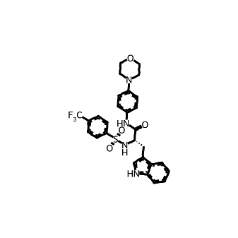 O=C(Nc1ccc(N2CCOCC2)cc1)[C@H](Cc1c[nH]c2ccccc12)NS(=O)(=O)c1ccc(C(F)(F)F)cc1